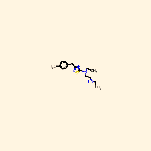 CCNCCN(CC)c1nc(Cc2ccc(C)cc2)ns1